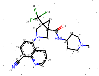 CN1CCC(NC(=O)C23CN(c4ccc(C#N)c5ncccc45)CC2(C(F)(F)F)C3)CC1